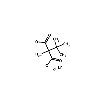 CC(C)(C)C(C)(C(=O)[O-])C(=O)[O-].[K+].[Li+]